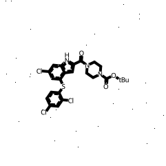 CC(C)(C)OC(=O)N1CCN(C(=O)c2cc3c(Sc4ccc(Cl)cc4Cl)cc(Cl)cc3[nH]2)CC1